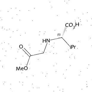 COC(=O)CN[C@H](C(=O)O)C(C)C